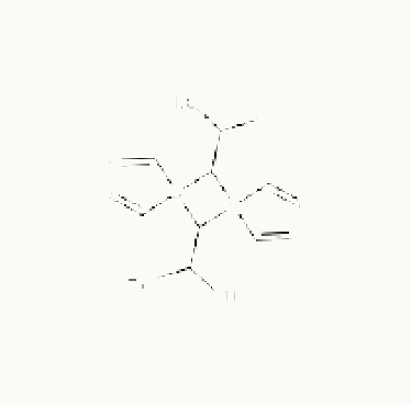 CC(C)C1S(C=O)(C=O)C(C(C)C)S1(C=O)C=O